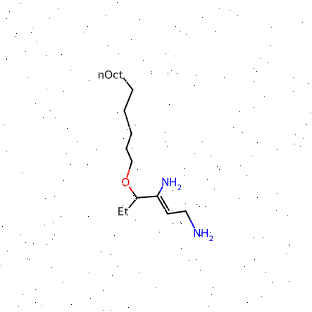 CCCCCCCCCCCCCOC(CC)C(N)=CCN